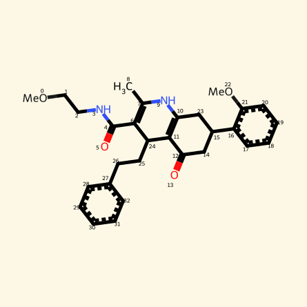 COCCNC(=O)C1=C(C)NC2=C(C(=O)CC(c3ccccc3OC)C2)C1CCc1ccccc1